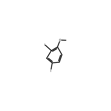 COc1ccc(I)cc1I